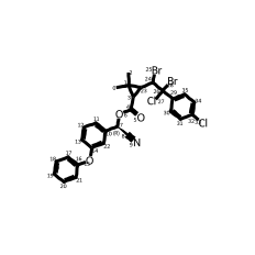 CC1(C)C(C(=O)O[C@@H](C#N)c2cccc(Oc3ccccc3)c2)C1C(Br)C(Cl)(Br)c1ccc(Cl)cc1